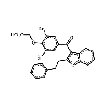 O=C(O)COc1c(Br)cc(C(=O)c2c(CCc3ccccc3)oc3ccccc23)cc1Br